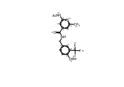 COc1ccc(CNC(=O)c2cc(C)nc(NC(C)=O)c2)cc1C(F)(F)I